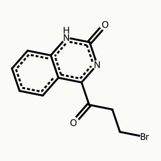 O=C(CCBr)c1nc(=O)[nH]c2ccccc12